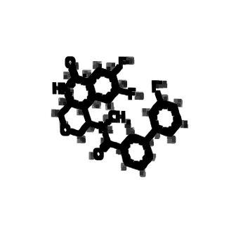 CN(C(=O)c1cccc(-c2cccc(F)c2)c1)C1COCc2[nH]c(=O)c3cc(F)c(F)cc3c21